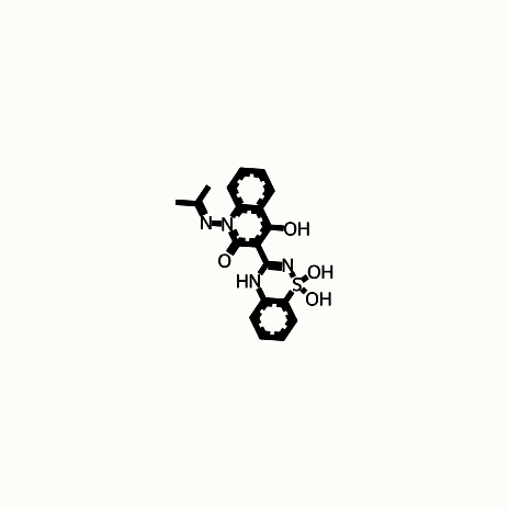 CC(C)=Nn1c(=O)c(C2=NS(O)(O)c3ccccc3N2)c(O)c2ccccc21